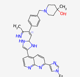 CCn1cnc(-c2ccc3c(C4=CNC(/C=C(\C(C)=N)c5ccc(CN6CCC(C)(O)CC6)cc5)N4)ccnc3n2)c1